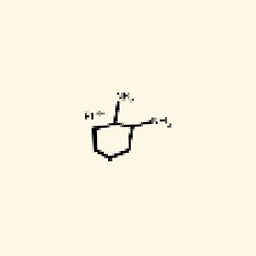 NC1CCCCC1N.[Pt+4]